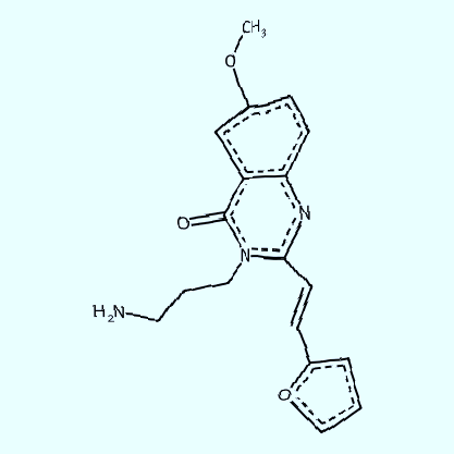 COc1ccc2nc(C=Cc3ccco3)n(CCCN)c(=O)c2c1